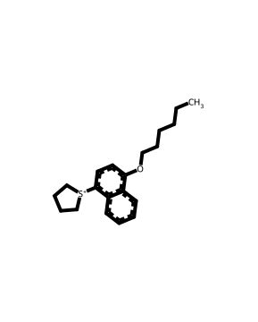 CCCCCCOc1ccc([S+]2CCCC2)c2ccccc12